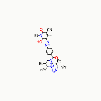 CCCC(N)C(CC)CN(CC(CC)C(N)CCC)C(=O)c1ccc(/N=N/c2c(C)c(C#N)c(=O)n(CC)c2O)cc1